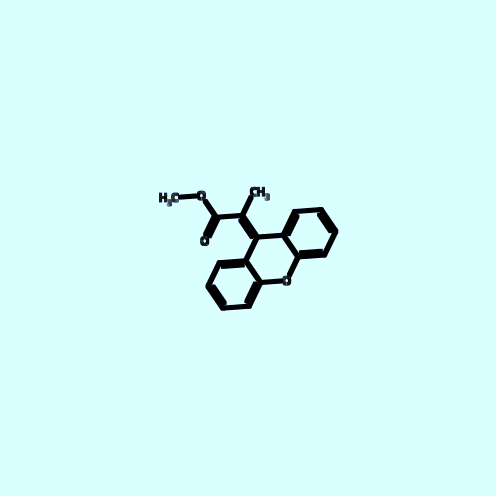 COC(=O)C(C)=C1c2ccccc2Oc2ccccc21